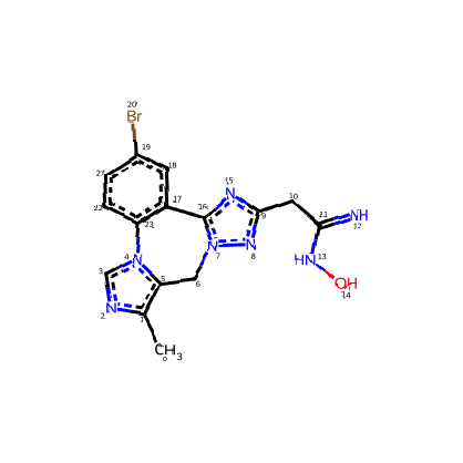 Cc1ncn2c1Cn1nc(CC(=N)NO)nc1-c1cc(Br)ccc1-2